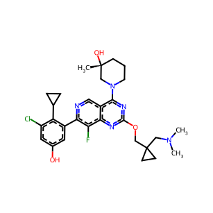 CN(C)CC1(COc2nc(N3CCC[C@@](C)(O)C3)c3cnc(-c4cc(O)cc(Cl)c4C4CC4)c(F)c3n2)CC1